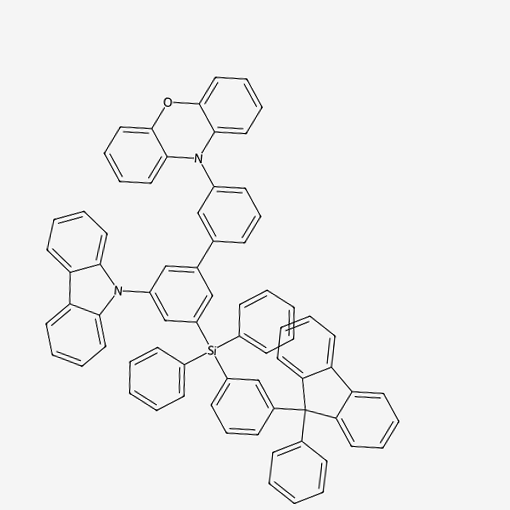 c1ccc(C2(c3cccc([Si](c4ccccc4)(c4ccccc4)c4cc(-c5cccc(N6c7ccccc7Oc7ccccc76)c5)cc(-n5c6ccccc6c6ccccc65)c4)c3)c3ccccc3-c3ccccc32)cc1